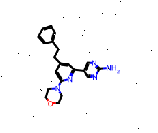 Nc1ncc(-c2cc(CCc3ccccc3)cc(N3CCOCC3)n2)cn1